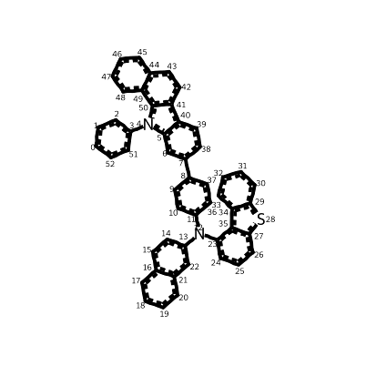 c1ccc(-n2c3cc(-c4ccc(N(c5ccc6ccccc6c5)c5cccc6sc7ccccc7c56)cc4)ccc3c3ccc4ccccc4c32)cc1